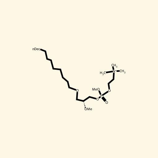 CCCCCCCCCCCCCCCCCCOC[C@H](COP(=O)(OC)OCC[N+](C)(C)C)OC